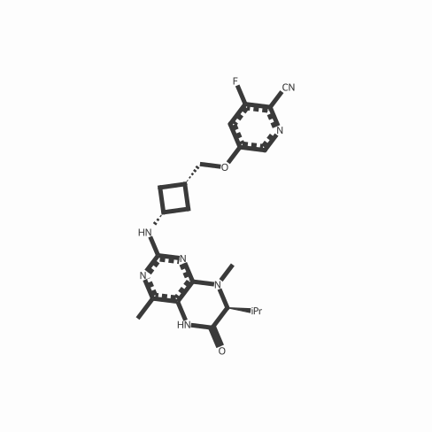 Cc1nc(N[C@H]2C[C@@H](COc3cnc(C#N)c(F)c3)C2)nc2c1NC(=O)[C@H](C(C)C)N2C